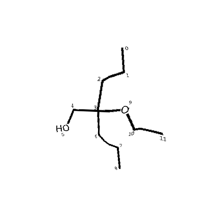 CCCC(CO)(CCC)OCC